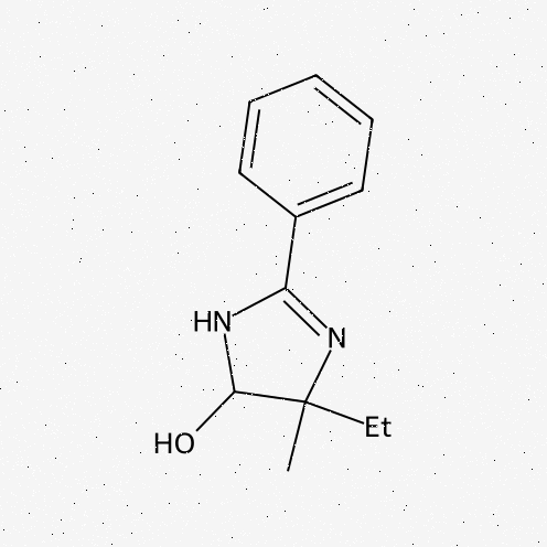 CCC1(C)N=C(c2ccccc2)NC1O